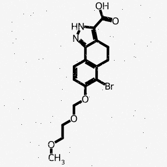 COCCOCOc1ccc2c(c1Br)CCc1c-2n[nH]c1C(=O)O